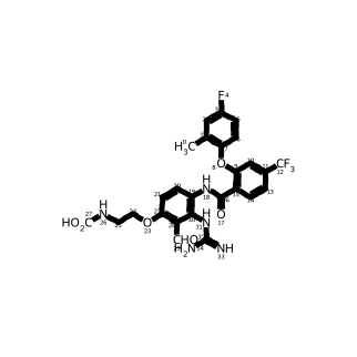 Cc1cc(F)ccc1Oc1cc(C(F)(F)F)ccc1C(=O)Nc1ccc(OCCNC(=O)O)c(C=O)c1NC(=N)N